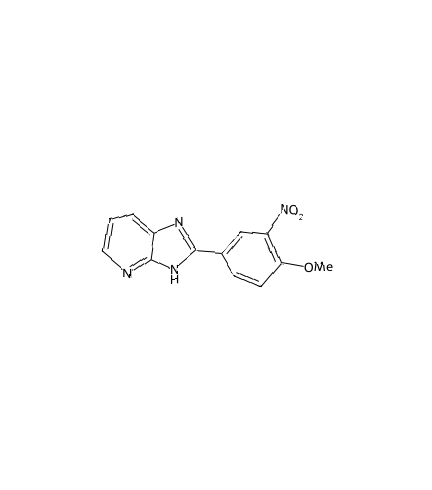 COc1ccc(-c2nc3cccnc3[nH]2)cc1[N+](=O)[O-]